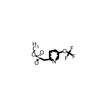 COS(=O)(=O)Cc1ccc(OC(F)(F)F)cn1